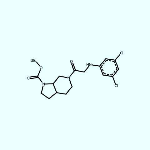 CC(C)(C)OC(=O)N1CCC2CCN(C(=O)CNc3cc(Cl)cc(Cl)c3)CC21